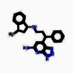 CC1C[C@@H](NCCC(c2ccccc2)c2cc(N)nc3[nH]nnc23)c2ccccc21